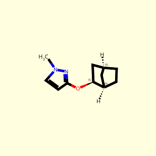 Cn1ccc(O[C@H]2C[C@H]3CC[C@@H]2C3)n1